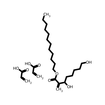 C=C(C(=O)OCCCCCCCCCCCC)C(O)CCCCCO.C=CC(=O)O.C=CC(=O)O